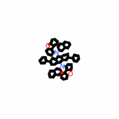 c1ccc(-c2ccc3c(N(c4ccc5ccccc5c4)c4cccc5oc6ccccc6c45)c4cc(-c5ccccc5)ccc4c(N(c4ccc5ccccc5c4)c4cccc5oc6ccccc6c45)c3c2)cc1